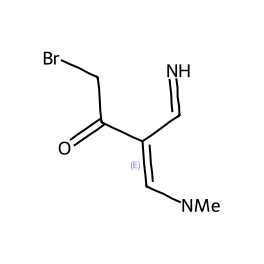 CN/C=C(\C=N)C(=O)CBr